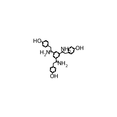 N[C@@H](Cc1ccc(O)cc1)c1cc([C@@H](N)Cc2ccc(O)cc2)cc([C@@H](N)Cc2ccc(O)cc2)c1